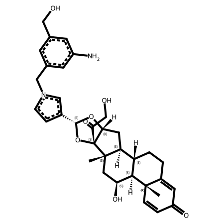 C[C@]12C=CC(=O)C=C1CC[C@@H]1[C@@H]2[C@@H](O)C[C@@]2(C)[C@H]1C[C@H]1O[C@@H](c3ccn(Cc4cc(N)cc(CO)c4)c3)O[C@]12C(=O)CO